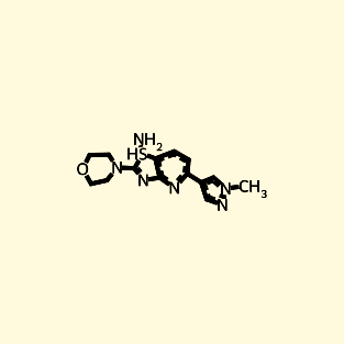 Cn1cc(-c2ccc3c(n2)N=C(N2CCOCC2)[SH]3N)cn1